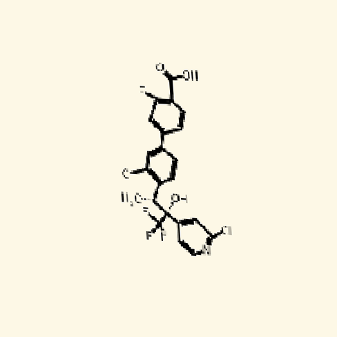 C[C@H](c1ccc(-c2ccc(C(=O)O)c(F)c2)cc1Cl)[C@@](O)(c1ccnc(Cl)c1)C(F)(F)F